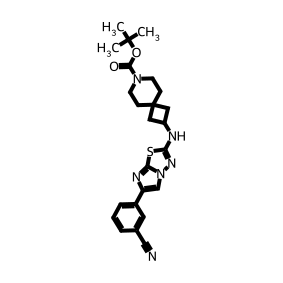 CC(C)(C)OC(=O)N1CCC2(CC1)CC(Nc1nn3cc(-c4cccc(C#N)c4)nc3s1)C2